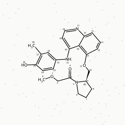 COCC(=O)N1CCC[C@@H]1COc1cccc2nccc(Nc3ccc(O)c(C)c3)c12